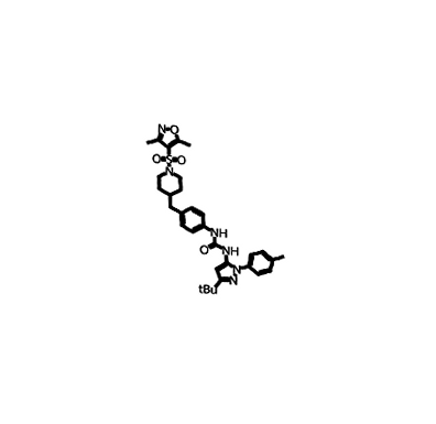 Cc1ccc(-n2nc(C(C)(C)C)cc2NC(=O)Nc2ccc(CC3CCN(S(=O)(=O)c4c(C)noc4C)CC3)cc2)cc1